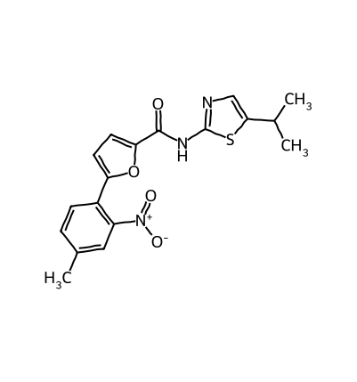 Cc1ccc(-c2ccc(C(=O)Nc3ncc(C(C)C)s3)o2)c([N+](=O)[O-])c1